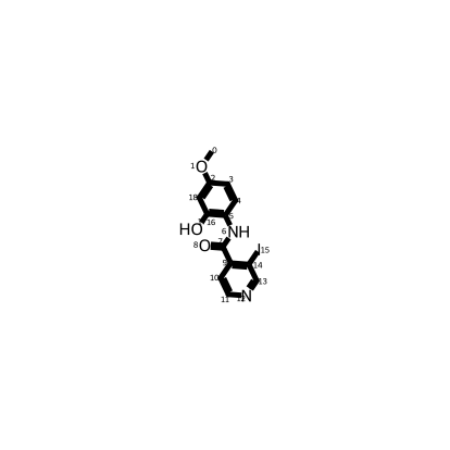 COc1ccc(NC(=O)c2ccncc2I)c(O)c1